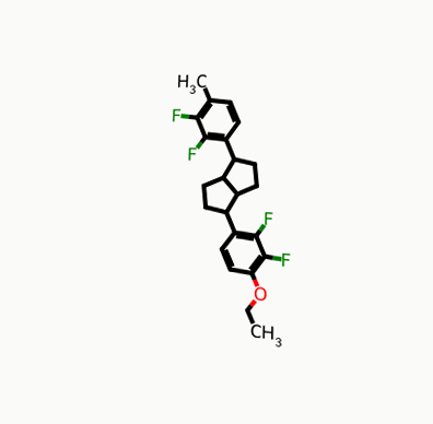 CCOc1ccc(C2CCC3C(c4ccc(C)c(F)c4F)CCC23)c(F)c1F